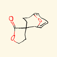 O=C1OCCC12Cc1ccc2o1